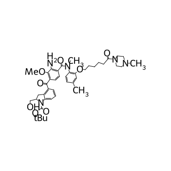 COc1c(C(=O)c2cccc3c2CC(CO)N3C(=O)OC(C)(C)C)ccc(C(=O)N(C)c2ccc(C)cc2OCCCCCC(=O)N2CCN(C)CC2)c1N